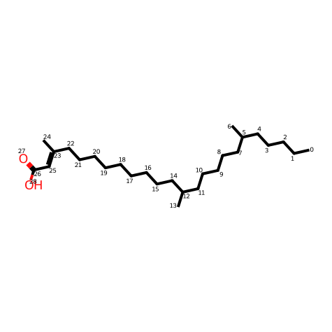 CCCCCC(C)CCCCCC(C)CCCCCCCCCC(C)=CC(=O)O